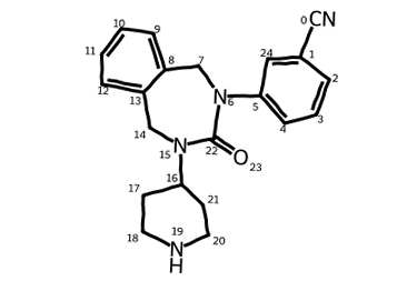 N#Cc1cccc(N2Cc3ccccc3CN(C3CCNCC3)C2=O)c1